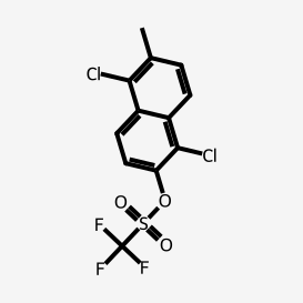 Cc1ccc2c(Cl)c(OS(=O)(=O)C(F)(F)F)ccc2c1Cl